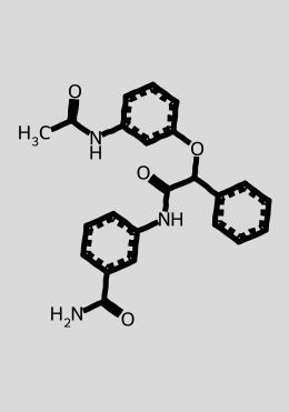 CC(=O)Nc1cccc(OC(C(=O)Nc2cccc(C(N)=O)c2)c2ccccc2)c1